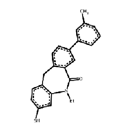 CCN1C(=O)c2cc(-c3cccc(C)c3)ccc2Cc2ccc(S)cc21